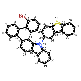 Brc1ccccc1-c1ccccc1-c1ccc2c3ccccc3n(-c3ccc4sc5ccccc5c4c3)c2c1